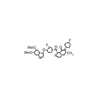 COc1cc2nccc(Oc3ccc(Nc4nccc5cc(C)n(-c6ccc(F)cc6)c(=O)c45)cc3F)c2cc1OC